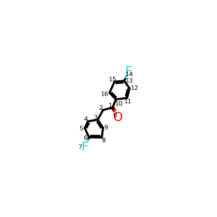 O=C(Cc1ccc(F)cc1)c1ccc(F)cc1